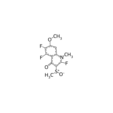 COc1cc2c(c(F)c1F)c(=O)c([S+](C)[O-])c(F)n2C